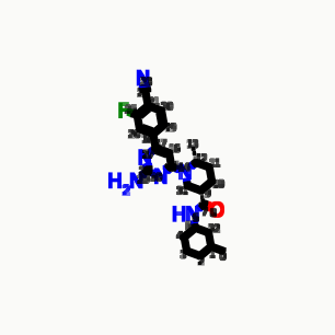 CC1CCCC(NC(=O)[C@H]2CC[C@@H](C)N(c3cc(-c4ccc(C#N)c(F)c4)nc(N)n3)C2)C1